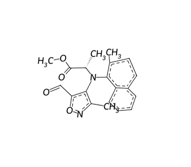 COC(=O)[C@H](C)N(c1c(C)noc1C=O)c1c(C)ccc2ccccc12